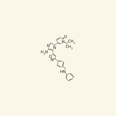 CC(C)n1cc(-c2cnc(N)c(-c3cc(-c4ccc(CNc5ccccc5)cc4)no3)n2)ccc1=O